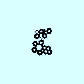 CC1(C)c2ccccc2-c2ccc(N(c3ccc4c(c3)c3ccccc3c3ccccc3c3ccccc3c3c4cc4ccc5cccc6ccc3c4c56)c3cccc4oc5ccccc5c34)cc21